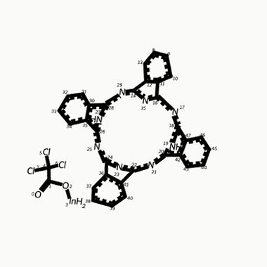 O=C([O][InH2])C(Cl)(Cl)Cl.c1ccc2c(c1)-c1nc-2nc2[nH]c(nc3nc(nc4[nH]c(n1)c1ccccc41)-c1ccccc1-3)c1ccccc21